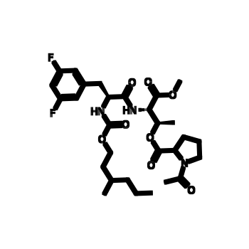 CCCC(C)CCOC(=O)N[C@@H](Cc1cc(F)cc(F)c1)C(=O)N[C@H](C(=O)OC)[C@@H](C)OC(=O)C1CCCN1C(C)=O